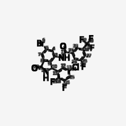 O=C(Nc1cc(Br)cc2c1C(c1cc(Cl)cc(F)c1F)NC2=O)c1cc(F)cc(C(F)(F)F)c1